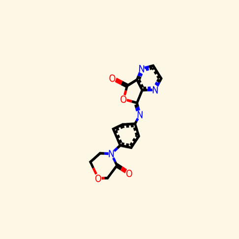 O=C1OC(=Nc2ccc(N3CCOCC3=O)cc2)c2nccnc21